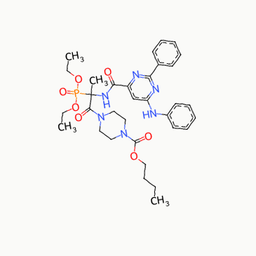 CCCCOC(=O)N1CCN(C(=O)C(C)(NC(=O)c2cc(Nc3ccccc3)nc(-c3ccccc3)n2)P(=O)(OCC)OCC)CC1